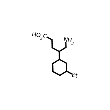 CCC1CCCC(C(CN)CCC(=O)O)C1